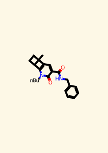 CCCCn1c2c(cc(C(=O)NCc3ccccc3)c1=O)C1(C)CCC21